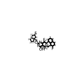 C#Cc1c(F)ccc2cccc(-c3ncc4c(O)nc(OC[C@@]56CCCN5C[C@H](F)C6)nc4c3F)c12